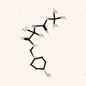 CC(C)(C)OC(=O)NC(C)(C)C(=O)OC[C@H]1CC[C@H](C)CC1